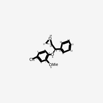 COc1cc(Cl)ccc1O[C@H](c1ccccc1)[C@@H]1CO1